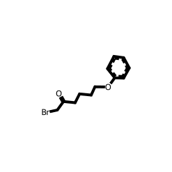 O=C(CBr)CCCCOc1ccccc1